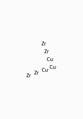 [Cu].[Cu].[Cu].[Zr].[Zr].[Zr].[Zr]